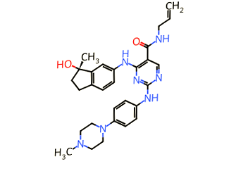 C=CCNC(=O)c1cnc(Nc2ccc(N3CCN(C)CC3)cc2)nc1Nc1ccc2c(c1)[C@@](C)(O)CC2